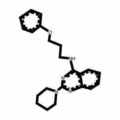 c1ccc(OCCCNc2nc(N3CCCCC3)nc3ccccc23)cc1